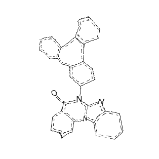 O=c1c2ccccc2n2c3ccccc3nc2n1-c1ccc2c3ccccc3c3ccccc3c2c1